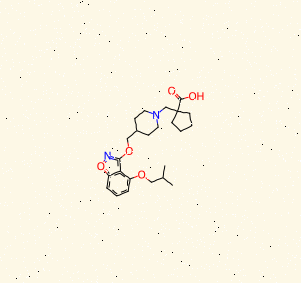 CC(C)COc1cccc2onc(OCC3CCN(CC4(C(=O)O)CCCC4)CC3)c12